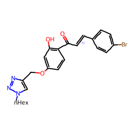 CCCCCCn1cc(COc2ccc(C(=O)/C=C/c3ccc(Br)cc3)c(O)c2)nn1